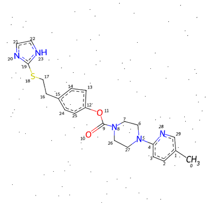 Cc1ccc(N2CCN(C(=O)Oc3ccc(CCSc4ncc[nH]4)cc3)CC2)nc1